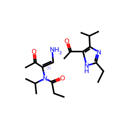 CCC(=O)N(/C(=C/N)C(C)=O)C(C)C.CCc1nc(C(C)C)c(C(C)=O)[nH]1